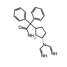 N=CN(C=N)[C@H]1CCC(C(C(N)=O)(c2ccccc2)c2ccccc2)C1